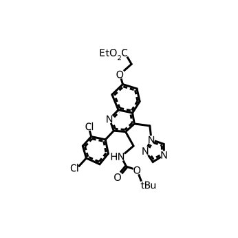 CCOC(=O)COc1ccc2c(Cn3cncn3)c(CNC(=O)OC(C)(C)C)c(-c3ccc(Cl)cc3Cl)nc2c1